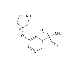 CC(C)(C)c1cncc(O[C@@H]2CCNC2)c1